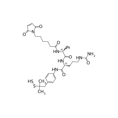 CC(C)[C@H](NC(=O)CCCCCN1C(=O)C=CC1=O)C(=O)N[C@@H](CCCNC(N)=O)C(=O)Nc1ccc(CC(C)(C)SS)cc1